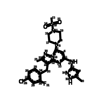 Cc1cc(Nc2cc(N3CCN(S(C)(=O)=O)CC3)n3nc(C)c(Cc4ccc(Cl)cc4F)c3n2)n[nH]1